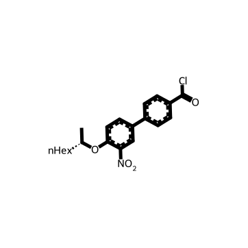 CCCCCC[C@H](C)Oc1ccc(-c2ccc(C(=O)Cl)cc2)cc1[N+](=O)[O-]